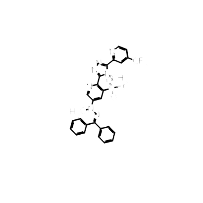 CCS(=O)(=O)c1cc(N(C)N=C(c2ccccc2)c2ccccc2)cnc1-c1nnc(-c2cc(C(F)(F)F)ccn2)n1C